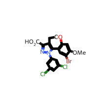 COc1cc2c(cc1Br)-c1c(c(C(=O)O)nn1-c1cc(Cl)cc(Cl)c1)CCO2